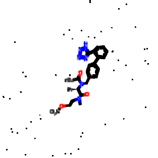 CCCCC(=O)N(Cc1ccc(-c2ccccc2-c2nnn[nH]2)cc1)[C@H](C(=O)N(C)CCO[N+](=O)[O-])C(C)C